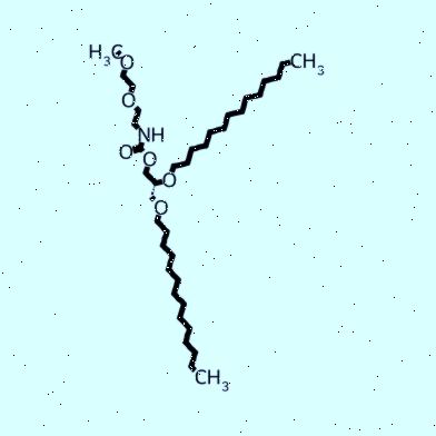 CCCCCCCCCCCCCCOC[C@H](COC(=O)NCCOCCOC)OCCCCCCCCCCCCCC